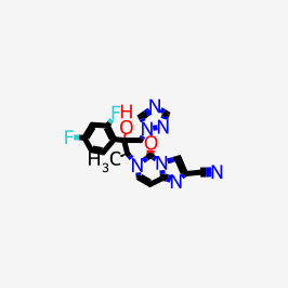 C[C@@H](n1ccc2nc(C#N)cn2c1=O)[C@](O)(Cn1cncn1)c1ccc(F)cc1F